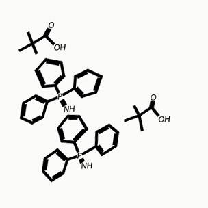 CC(C)(C)C(=O)O.CC(C)(C)C(=O)O.N=P(c1ccccc1)(c1ccccc1)c1ccccc1.N=P(c1ccccc1)(c1ccccc1)c1ccccc1